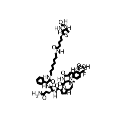 CN1CC[C@H]2CC[C@@H](C(=O)N[C@@H](CCC(N)=O)C(=O)N[C@H](C(=O)NCCCCCCCCNC(=O)CCCC[C@@H]3SC[C@@H]4NC(=O)N[C@@H]43)c3ccccc3)N2C(=O)[C@@H](NC(=O)c2cc3cc(C(F)(F)P(=O)(O)O)ccc3[nH]2)C1